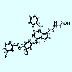 OCCNCCS1=C2C(=C(Nc3ccc(OCc4cccc(F)c4)c(Cl)c3)N=CN2Cc2ccccc2)C=C1